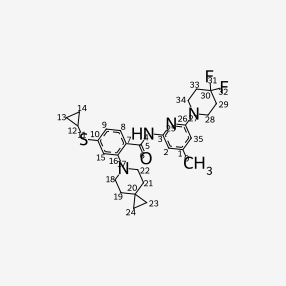 Cc1cc(NC(=O)c2ccc(SC3CC3)cc2N2CCC3(CC2)CC3)nc(N2CCC(F)(F)CC2)c1